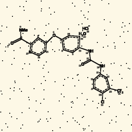 CNC(=O)c1cc(Oc2ccc(NC(=O)Nc3ccc(Cl)c(C(F)(F)F)c3)cc2)ccn1.Cl.O